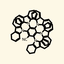 N#Cc1c(-n2c3c(c4c2C=CCC4)CCC=C3)c(-n2c3c(c4ccccc42)CCC=C3)c(-n2c3ccccc3c3ccccc32)c(-n2c3c(c4ccccc42)CCC=C3)c1-n1c2c(c3c1CCCC3)CCC=C2